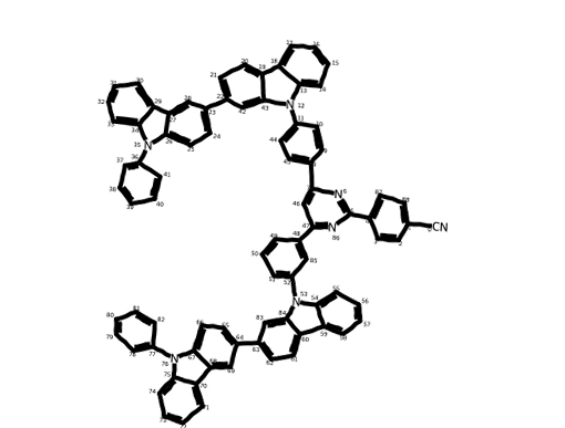 N#Cc1ccc(-c2nc(-c3ccc(-n4c5ccccc5c5ccc(-c6ccc7c(c6)c6ccccc6n7-c6ccccc6)cc54)cc3)cc(-c3cccc(-n4c5ccccc5c5ccc(-c6ccc7c(c6)c6ccccc6n7-c6ccccc6)cc54)c3)n2)cc1